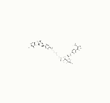 CC(C)(C)[C@H](NC(=O)COCCCCCNc1ccc(C(=O)N[C@H]2C(C)(C)[C@H](Oc3ccc(C#N)c(Cl)c3)C2(C)C)cc1)C(=O)N1C[C@H](O)C[C@H]1C(=O)NCc1ccc(-c2scnc2C2CC2)cc1